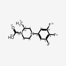 C[C@H]1CN(c2cc(F)c(F)c(F)c2)CCN1C(=O)O